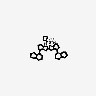 [CH3][Hf]([CH3])(=[C]1CCCC1)([CH]1C=Cc2c(-c3cccc4ccccc34)cccc21)[CH]1C=Cc2c(-c3cccc4ccccc34)cccc21